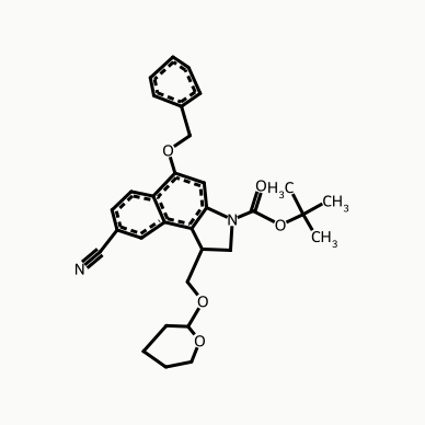 CC(C)(C)OC(=O)N1CC(COC2CCCCO2)c2c1cc(OCc1ccccc1)c1ccc(C#N)cc21